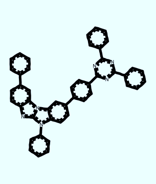 c1ccc(-c2ccc3nc4n(-c5ccccc5)c5ccc(-c6ccc(-c7nc(-c8ccccc8)nc(-c8ccccc8)n7)cc6)cc5n4c3c2)cc1